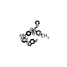 CN1CCC(N(CCN2CCCC2)S(=O)(=O)c2ccc(Nc3nccc(N4CCC5C=C(F)C=CC54)n3)cc2)CC1